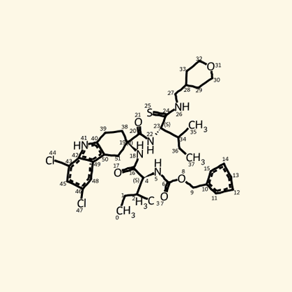 CCC(C)[C@H](NC(=O)OCc1ccccc1)C(=O)N[C@]1(C(=O)N[C@H](C(=S)NCC2CCOCC2)C(C)CC)CCc2[nH]c3c(Cl)cc(Cl)cc3c2C1